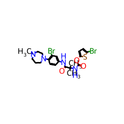 CN1CCCN(c2ccc(NC(=O)C(C)(C)NC(=O)Oc3ccc(Br)s3)cc2Br)CC1